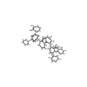 c1ccc(-c2nc(-c3ccccc3)nc(-c3cccc4c3oc3cccc(-c5ccc(-c6ccccc6)c6c5oc5ccccc56)c34)n2)cc1